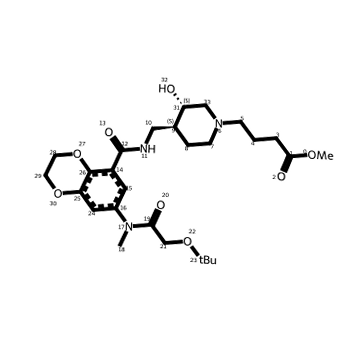 COC(=O)CCCN1CC[C@@H](CNC(=O)c2cc(N(C)C(=O)COC(C)(C)C)cc3c2OCCO3)[C@H](O)C1